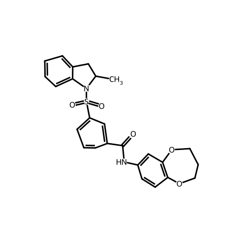 CC1Cc2ccccc2N1S(=O)(=O)c1cccc(C(=O)Nc2ccc3c(c2)OCCCO3)c1